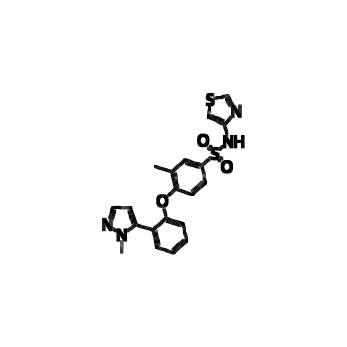 Cc1cc(S(=O)(=O)Nc2cscn2)ccc1Oc1ccccc1-c1ccnn1C